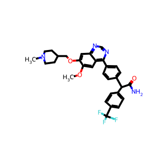 COc1cc2c(-c3ccc(C(C(N)=O)c4ccc(C(F)(F)F)cc4)cc3)ncnc2cc1OCC1CCN(C)CC1